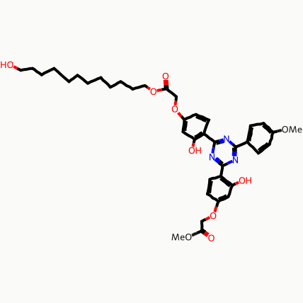 COC(=O)COc1ccc(-c2nc(-c3ccc(OC)cc3)nc(-c3ccc(OCC(=O)OCCCCCCCCCCCCO)cc3O)n2)c(O)c1